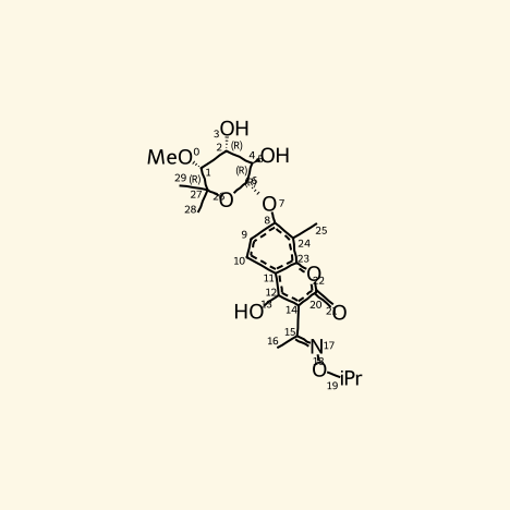 CO[C@@H]1[C@H](O)[C@@H](O)[C@H](Oc2ccc3c(O)c(C(C)=NOC(C)C)c(=O)oc3c2C)OC1(C)C